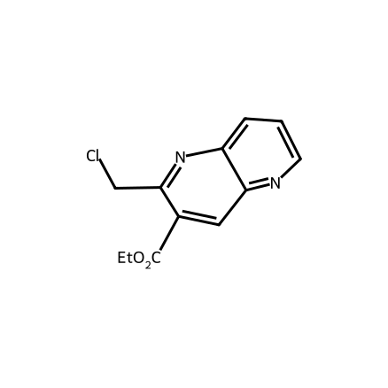 CCOC(=O)c1cc2ncccc2nc1CCl